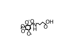 COc1cc(C(=O)NCCCC(=O)O)c(OC)c2c1OCO2